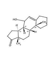 C[C@]12CCCCC1=CC(O)[C@@H]1[C@H]2CC[C@]2(C)C(=O)CC[C@@H]12